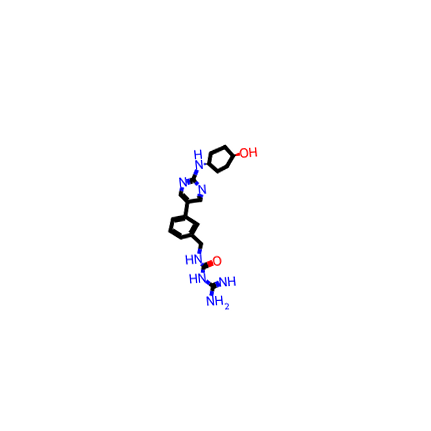 N=C(N)NC(=O)NCc1cccc(-c2cnc(N[C@H]3CC[C@H](O)CC3)nc2)c1